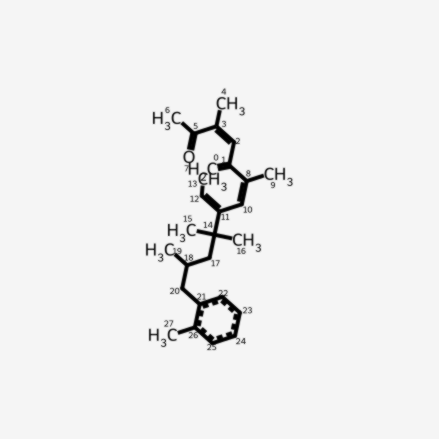 C=C(/C=C(/C)C(C)=O)/C(C)=C\C(=C/C)C(C)(C)CC(C)Cc1ccccc1C